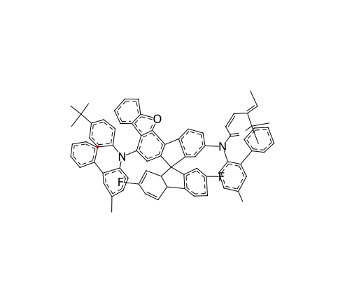 C=C(/C=C\C(=C/C)C(C)(C)C)N(c1ccc2c(c1)C1(c3cc(F)ccc3C3C=CC(F)=CC31)c1cc(N(c3ccc(C(C)(C)C)cc3)c3ccc(C)cc3-c3ccccc3)c3c(oc4ccccc43)c1-2)c1ccc(C)cc1-c1ccccc1